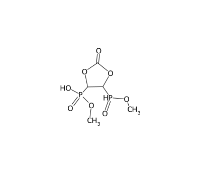 CO[PH](=O)C1OC(=O)OC1P(=O)(O)OC